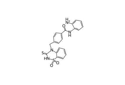 Nc1ccccc1NC(=O)c1ccc(CN2C(=S)NS(=O)(=O)c3ccccc32)cc1